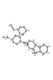 Nc1ccc(N)cc1.O=Cc1ccccc1.c1ccc2c(c1)[nH]c1ccccc12